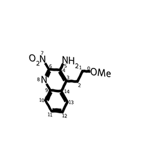 COCCc1c(N)c([N+](=O)[O-])nc2ccccc12